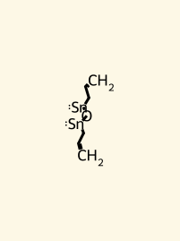 C=C[CH2][Sn][O][Sn][CH2]C=C